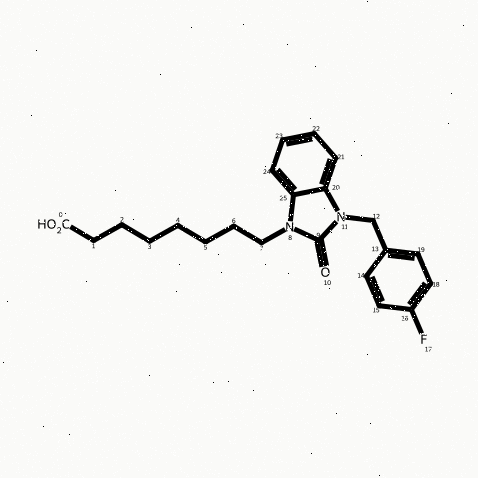 O=C(O)CCCCCCCn1c(=O)n(Cc2ccc(F)cc2)c2ccccc21